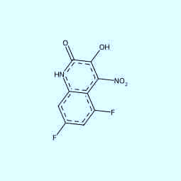 O=c1[nH]c2cc(F)cc(F)c2c([N+](=O)[O-])c1O